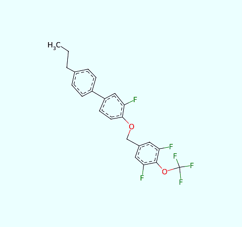 CCCc1ccc(-c2ccc(OCc3cc(F)c(OC(F)(F)F)c(F)c3)c(F)c2)cc1